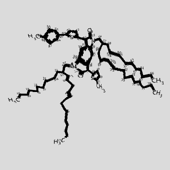 CCCCCCCCCCCCC(CCCCCCCCCC)CN1C(=O)C(c2ccc(C)s2)=c2cc3c(cc21)=C(c1ccc(-c2ccc(C)cc2)s1)C(=O)N3CC(CCCCCCCCCC)CCCCCCCCCCCC